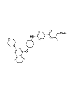 COCC(C)NC(=O)c1cnc(NC2CCC(Oc3cc(N4CCOCC4)cc4nccnc34)CC2)nc1